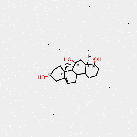 C[C@]12CC[C@H](O)CC1=CCC1C2[C@@H](O)C[C@@]2(C)C1CCC[C@@H]2O